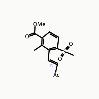 COC(=O)c1ccc(S(C)(=O)=O)c(/C=C/C(C)=O)c1C